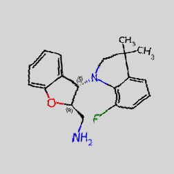 CC1(C)CN([C@H]2c3ccccc3O[C@@H]2CN)c2c(F)cccc21